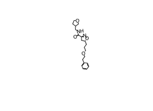 O=C(NCC1CCOC1)C1=NOC(CCCOCCc2ccccc2)C1